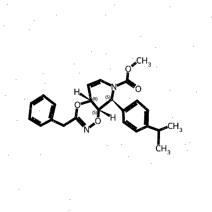 COC(=O)N1C=C[C@H]2OC(Cc3ccccc3)=NO[C@H]2[C@@H]1c1ccc(C(C)C)cc1